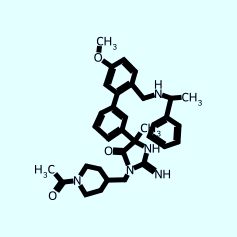 COc1ccc(CNC(C)c2ccccc2)c(-c2cccc(C3(C)NC(=N)N(CC4CCN(C(C)=O)CC4)C3=O)c2)c1